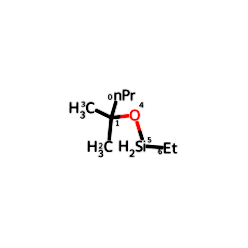 CCCC(C)(C)O[SiH2]CC